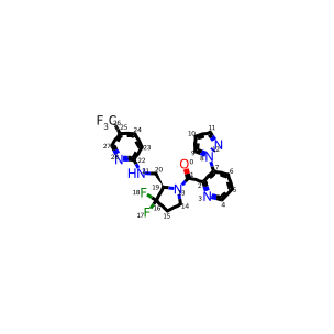 O=C(c1ncccc1-n1cccn1)N1CCC(F)(F)[C@H]1CNc1ccc(C(F)(F)F)cn1